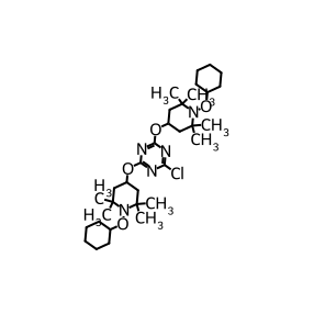 CC1(C)CC(Oc2nc(Cl)nc(OC3CC(C)(C)N(OC4CCCCC4)C(C)(C)C3)n2)CC(C)(C)N1OC1CCCCC1